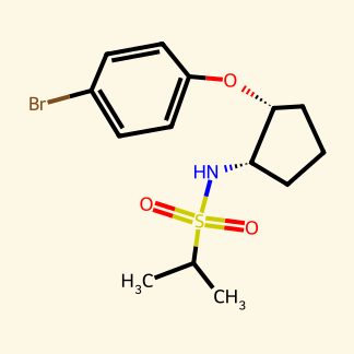 CC(C)S(=O)(=O)N[C@H]1CCC[C@H]1Oc1ccc(Br)cc1